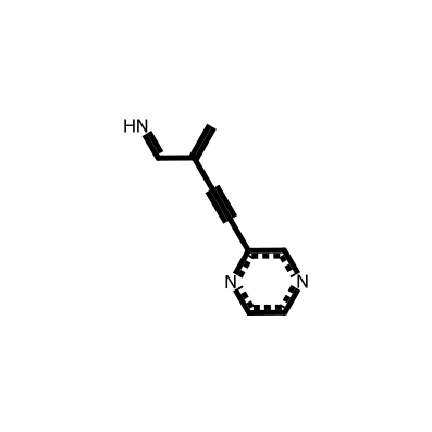 C=C(C#Cc1cnccn1)C=N